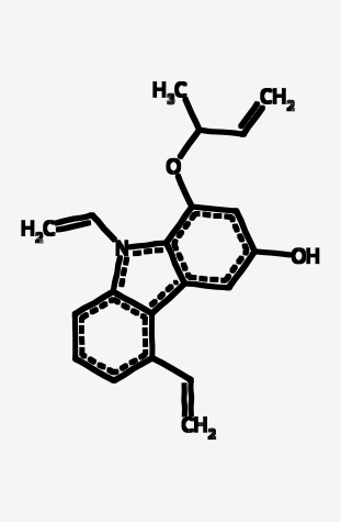 C=Cc1cccc2c1c1cc(O)cc(OC(C)C=C)c1n2C=C